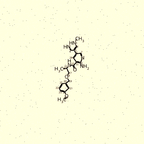 CN/C=C(\C=N)c1cnc(N)c(C(=O)NC(C)COCc2cccc(OC)c2)c1